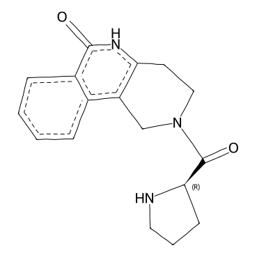 O=C([C@H]1CCCN1)N1CCc2[nH]c(=O)c3ccccc3c2C1